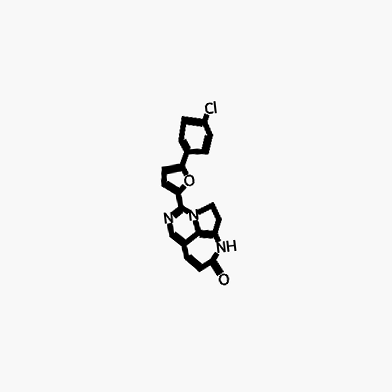 O=C1C=CC2=CN=C(c3ccc(-c4ccc(Cl)cc4)o3)N3CCC(=C23)N1